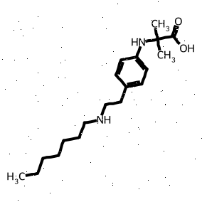 CCCCCCCNCCc1ccc(NC(C)(C)C(=O)O)cc1